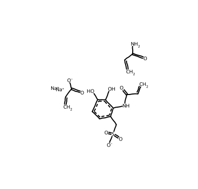 C=CC(=O)Nc1c(CS(=O)(=O)[O-])ccc(O)c1O.C=CC(=O)[O-].C=CC(N)=O.[Na+].[Na+]